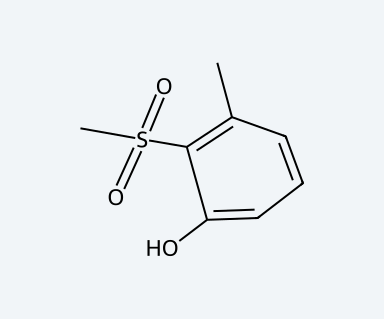 Cc1cccc(O)c1S(C)(=O)=O